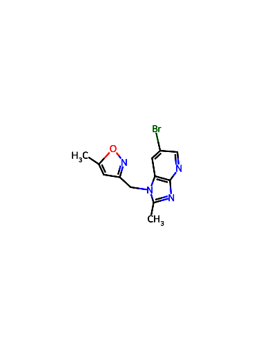 Cc1cc(Cn2c(C)nc3ncc(Br)cc32)no1